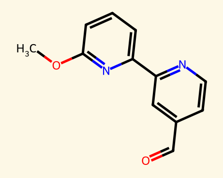 COc1cccc(-c2cc(C=O)ccn2)n1